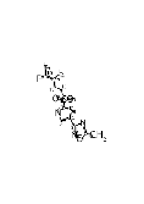 Cc1nc(-c2cnc(S(=O)(=O)CCC(F)=C(F)F)s2)no1